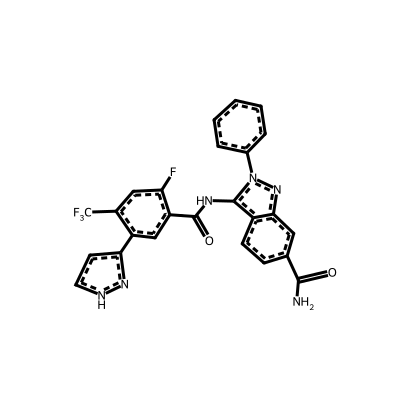 NC(=O)c1ccc2c(NC(=O)c3cc(-c4cc[nH]n4)c(C(F)(F)F)cc3F)n(-c3ccccc3)nc2c1